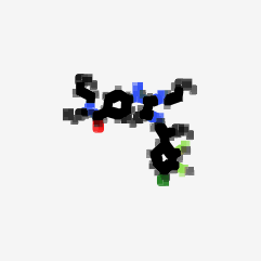 C\C=C/N=C(Nc1ccc(C(=O)N(C)CCC)cc1)\C(C)=N\C=C(/C)c1ccc(Cl)c(F)c1F